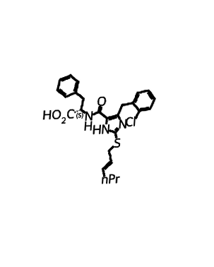 CCCC=CCSc1nc(Cc2ccccc2Cl)c(C(=O)N[C@@H](Cc2ccccc2)C(=O)O)[nH]1